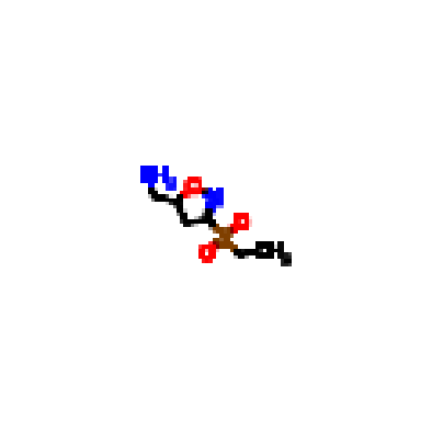 CCS(=O)(=O)C1=NOC(CN)C1